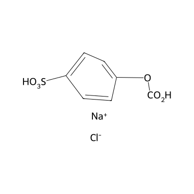 O=C(O)Oc1ccc(S(=O)(=O)O)cc1.[Cl-].[Na+]